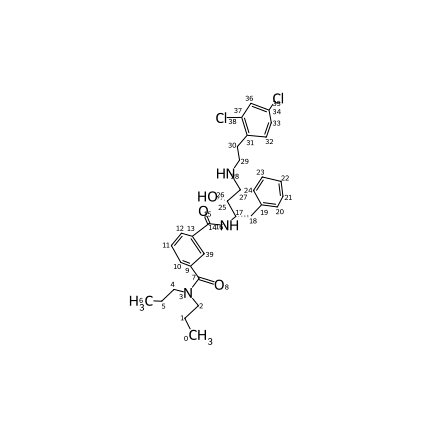 CCCN(CCC)C(=O)c1cccc(C(=O)N[C@@H](Cc2ccccc2)[C@H](O)CNCCc2ccc(Cl)cc2Cl)c1